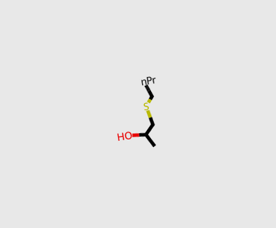 CCCCSCC(C)O